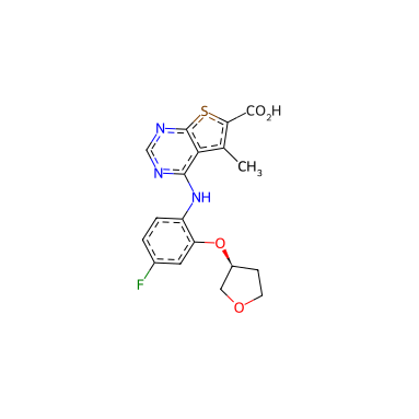 Cc1c(C(=O)O)sc2ncnc(Nc3ccc(F)cc3O[C@H]3CCOC3)c12